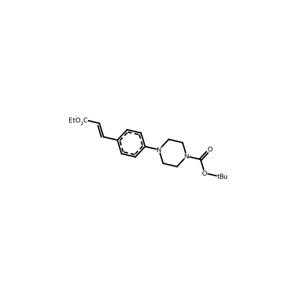 CCOC(=O)/C=C/c1ccc(N2CCN(C(=O)OC(C)(C)C)CC2)cc1